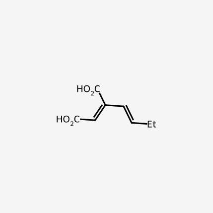 CCC=C/C(=C/C(=O)O)C(=O)O